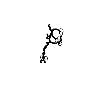 CCCCC1CCCC(=O)OCC2COC(=O)CCCC(C(C)C/C=C/CCCC(=O)OC(CC)CC)CC(CC)C(CC)CC1CCCC(=O)O2